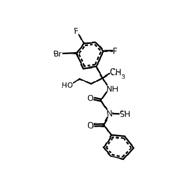 CC(CCO)(NC(=O)N(S)C(=O)c1ccccc1)c1cc(Br)c(F)cc1F